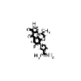 C[C@@H](N)C1CCN(c2c(F)cc3c(=O)c4c(=O)[nH]sc4n4c3c2OC[C@@H]4C)C1